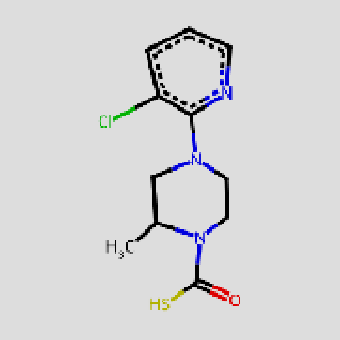 CC1CN(c2ncccc2Cl)CCN1C(=O)S